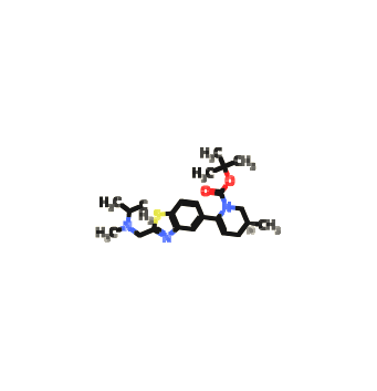 CC(C)N(C)Cc1nc2cc(C3=CC[C@H](C)CN3C(=O)OC(C)(C)C)ccc2s1